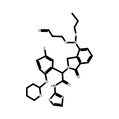 CCCCN(OCCC=O)c1cccc2c1CN(C(C(=O)Nc1nccs1)c1cc(F)ccc1OC1CCCCO1)C2=O